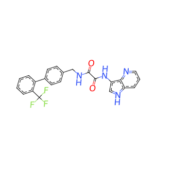 O=C(NCc1ccc(-c2ccccc2C(F)(F)F)cc1)C(=O)Nc1c[nH]c2cccnc12